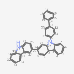 C1=CC2c3ccccc3N(c3ccc(-c4ccccc4)cc3)C2C=C1c1ccc2[nH]c3ccccc3c2c1